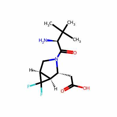 CC(C)(C)[C@H](N)C(=O)N1C[C@H]2[C@@H]([C@H]1CC(=O)O)C2(F)F